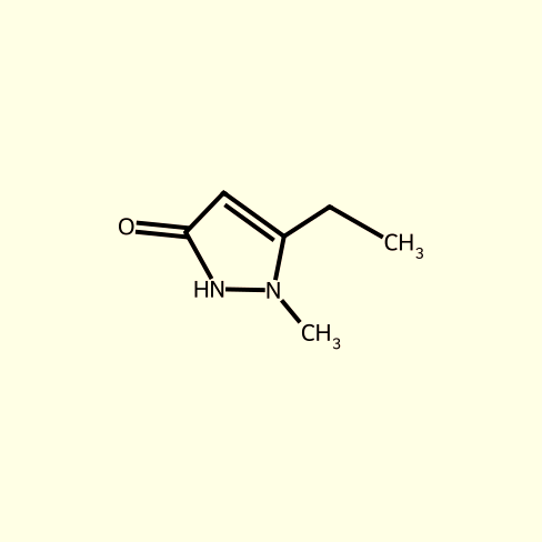 CCc1cc(=O)[nH]n1C